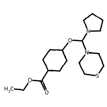 CCOC(=O)C1CCC(OC(N2CCCC2)N2CCSCC2)CC1